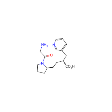 NCC(=O)N1CCC[C@@H]1CC[C@@H](Cc1cccnc1)C(=O)O